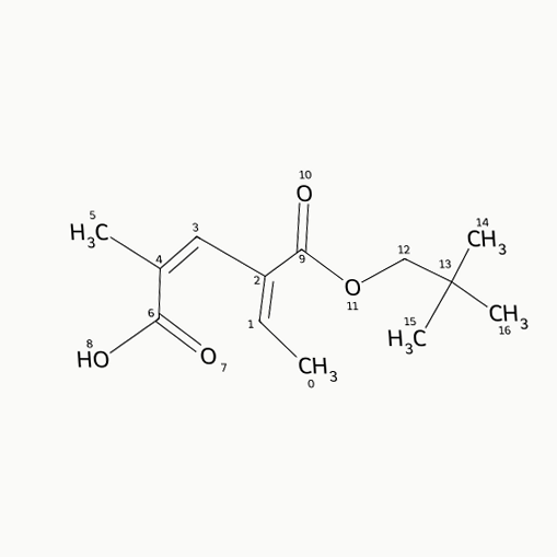 CC=C(C=C(C)C(=O)O)C(=O)OCC(C)(C)C